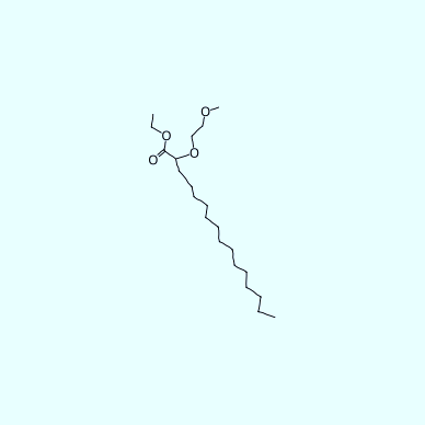 CCCCCCCCCCCCCCC(OCCOC)C(=O)OCC